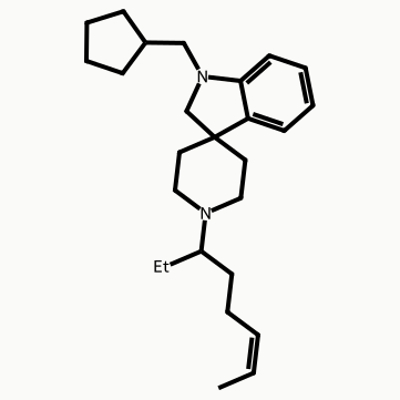 C/C=C\CCC(CC)N1CCC2(CC1)CN(CC1CCCC1)c1ccccc12